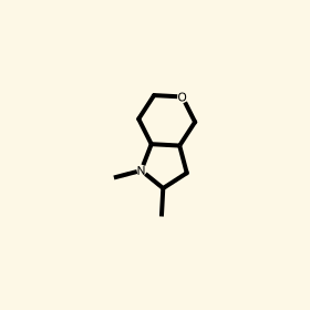 CC1CC2COCCC2N1C